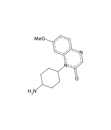 COc1ccc2ncc(=O)n(C3CCC(N)CC3)c2c1